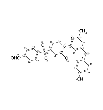 Cc1cc(Nc2ccc(C#N)cc2)nc(N2CCN(S(=O)(=O)c3ccc(C=O)cc3)CC2=O)n1